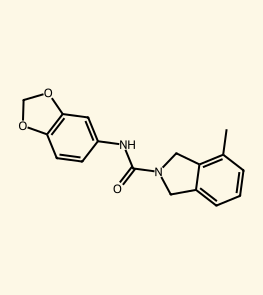 Cc1cccc2c1CN(C(=O)Nc1ccc3c(c1)OCO3)C2